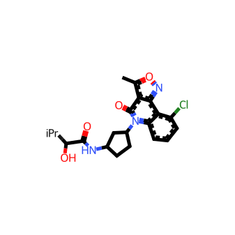 Cc1onc2c1c(=O)n(C1CCC(NC(=O)C(O)C(C)C)C1)c1cccc(Cl)c21